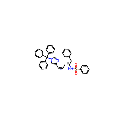 O=S(=O)(N[C@H](C/C=C\c1cn(C(c2ccccc2)(c2ccccc2)c2ccccc2)cn1)Cc1ccccc1)c1ccccc1